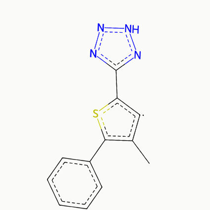 Cc1[c]c(-c2nn[nH]n2)sc1-c1ccccc1